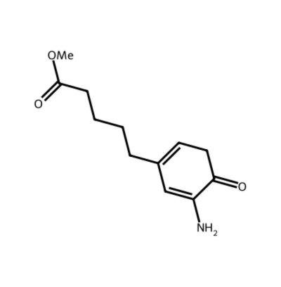 COC(=O)CCCCC1=CCC(=O)C(N)=C1